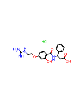 Cl.N=C(N)NCCOc1ccc(C(=O)NC(CC(=O)O)c2ccccc2)c(O)c1